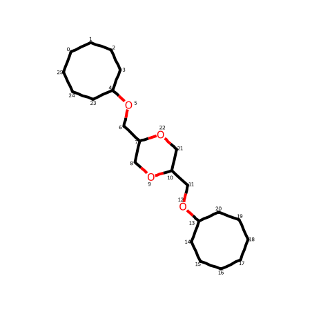 C1CCCC(OCC2COC(COC3CCCCCCC3)CO2)CCC1